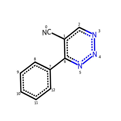 N#Cc1cnnnc1-c1ccccc1